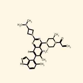 C=CC(=O)N1C[C@H](C)N(c2nc(N3CC(N(C)C)C3)nc3c(F)c(-c4c(C)ccc5[nH]ncc45)c(C)cc23)C[C@H]1C